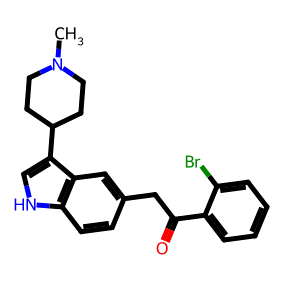 CN1CCC(c2c[nH]c3ccc(CC(=O)c4ccccc4Br)cc23)CC1